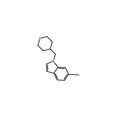 Oc1ccc2[c]cn(CC3CCOCC3)c2c1